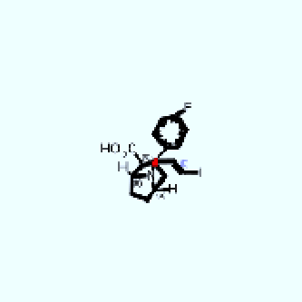 O=C(O)[C@H]1[C@@H](c2ccc(F)cc2)C[C@@H]2CC[C@H]1N2C/C=C/I